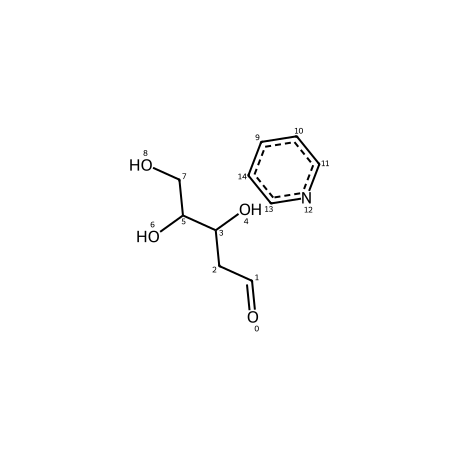 O=CCC(O)C(O)CO.c1ccncc1